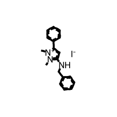 Cn1c(NCc2ccccc2)cc(-c2ccccc2)[n+]1C.[I-]